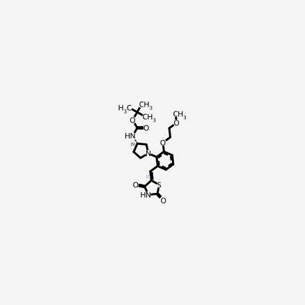 COCCOc1cccc(/C=C2\SC(=O)NC2=O)c1N1CC[C@H](NC(=O)OC(C)(C)C)C1